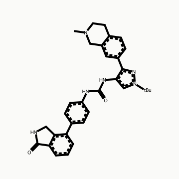 CN1CCc2ccc(-c3nn(C(C)(C)C)cc3NC(=O)Nc3ccc(-c4cccc5c4CNC5=O)cc3)cc2C1